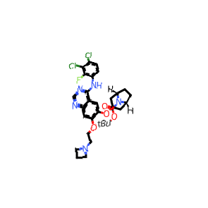 CC(C)(C)OC(=O)N1[C@@H]2CC[C@H]1C[C@H](Oc1cc3c(Nc4ccc(Cl)c(Cl)c4F)ncnc3cc1OCCN1CCC1)C2